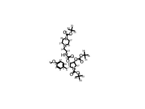 COc1ccc(C[C@@H]2[C@H](OC(=O)NCCN3CCN(C(=O)OC(C)(C)C)CC3)[C@@H](OC(=O)OC(C)(C)C)CN2C(=O)OC(C)(C)C)cc1